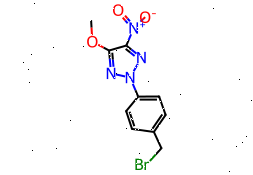 COc1nn(-c2ccc(CBr)cc2)nc1[N+](=O)[O-]